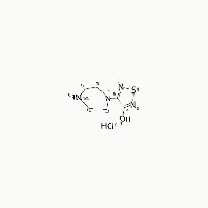 Cl.Oc1nsnc1N1CCNCC1